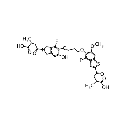 COc1cc2sc(C(=O)CC(C)C(=O)O)cc2c(F)c1OCCCOc1c(O)cc2c(c1F)CN(C(=O)CC(C)C(=O)O)C2